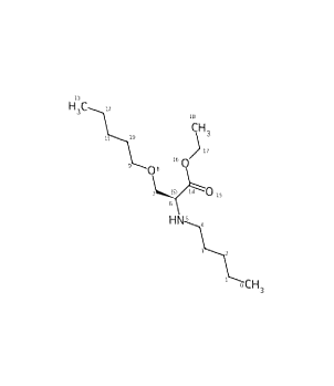 CCCCCN[C@@H](COCCCCC)C(=O)OCC